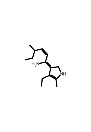 CCC1=C(C)NC/C1=C(N)\C=C/C(C)CC